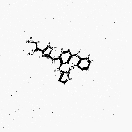 CCn1nccc1Oc1cc(Sc2ccccn2)cnc1Nc1nc(C(O)CO)ns1